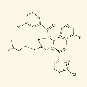 Cc1c(F)cccc1C1[C@@H](C(=O)c2cccc(O)c2)CN(CCCN(C)C)C[C@@H]1C(=O)c1cccc(O)c1